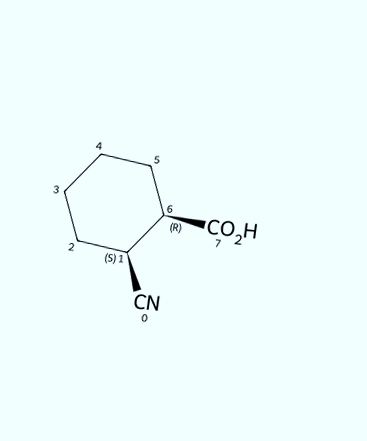 N#C[C@H]1CCCC[C@H]1C(=O)O